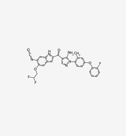 Cc1cc(Oc2ccccc2F)ccc1-n1ncc(C(=O)c2cc3cc(OCC(F)F)c(N=C=O)cc3[nH]2)c1N